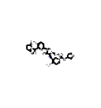 C=N/C(=C\C1=C(C)CCN(C(=O)OC2CCOC2)C1)C(=O)Nc1cccc(-c2nnc3n2[C@H](C)CC3)n1